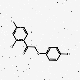 O=C(COc1ccc(Cl)cc1)c1ccc(Cl)cc1Cl